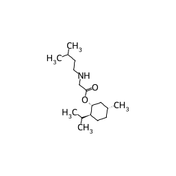 CC(C)CCNCC(=O)O[C@@H]1C[C@H](C)CC[C@H]1C(C)C